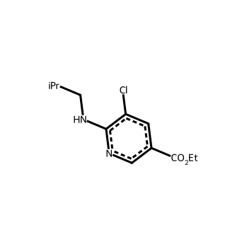 CCOC(=O)c1cnc(NCC(C)C)c(Cl)c1